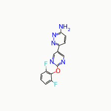 Nc1ccc(-c2cnc(Oc3c(F)cccc3F)nc2)nn1